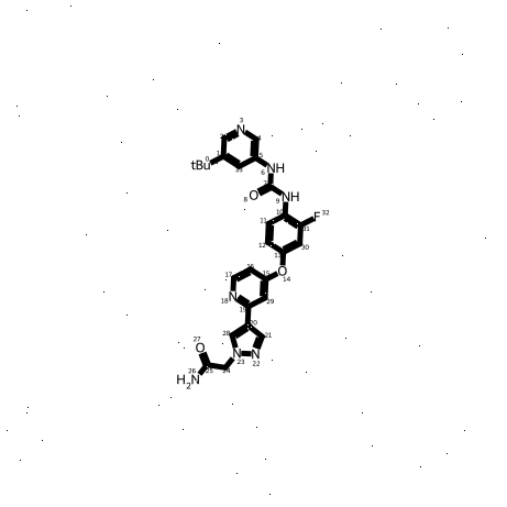 CC(C)(C)c1cncc(NC(=O)Nc2ccc(Oc3ccnc(-c4cnn(CC(N)=O)c4)c3)cc2F)c1